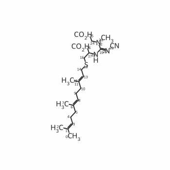 CC(C)=CCC/C(C)=C/CC/C(C)=C/CSCC(N/C(=N/C#N)N(C)CC(=O)O)C(=O)O